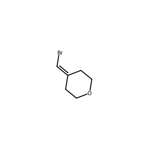 BrC=C1CCOCC1